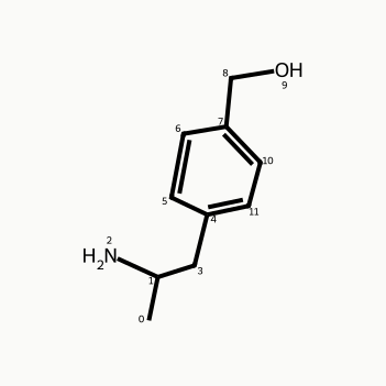 CC(N)Cc1ccc(CO)cc1